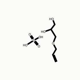 C=CCOCC(O)CO.O=S(=O)(O)O